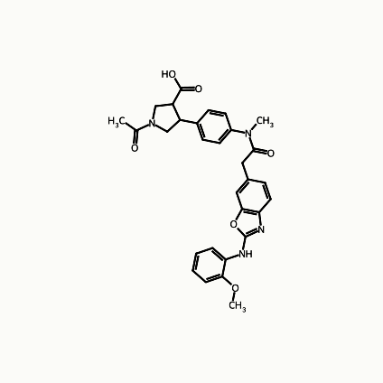 COc1ccccc1Nc1nc2ccc(CC(=O)N(C)c3ccc(C4CN(C(C)=O)CC4C(=O)O)cc3)cc2o1